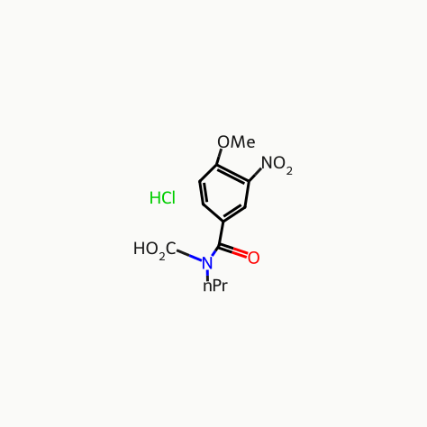 CCCN(C(=O)O)C(=O)c1ccc(OC)c([N+](=O)[O-])c1.Cl